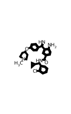 CN1CCC(Oc2ccc(C(=N)c3cc(C(=O)NC(c4ccccc4Cl)C4CC4)ccc3N)cc2)CC1